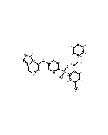 O=S(=O)(c1ccc(CN2C=CCn3ccnc32)cc1)c1cc(C(F)(F)F)ccc1OCc1ccccc1